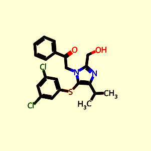 CC(C)c1nc(CO)n(CC(=O)c2ccccc2)c1Sc1cc(Cl)cc(Cl)c1